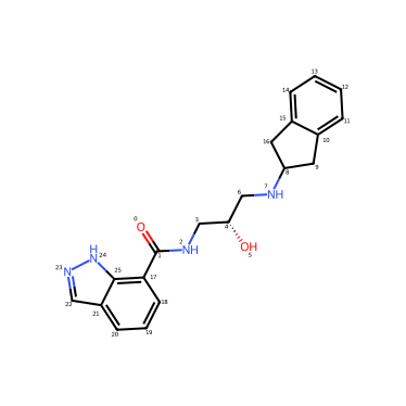 O=C(NC[C@@H](O)CNC1Cc2ccccc2C1)c1cccc2cn[nH]c12